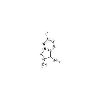 NC1c2ccc(F)cc2CC1O